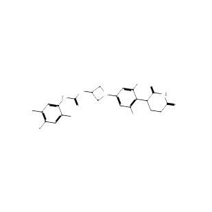 Cc1cc(NC(=O)OC2CN(c3cc(F)c(C4CCC(=O)NC4=O)c(F)c3)C2)c(F)cc1Cl